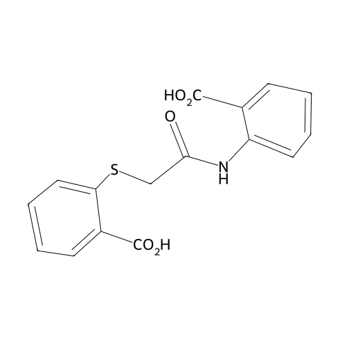 O=C(CSc1ccccc1C(=O)O)Nc1ccccc1C(=O)O